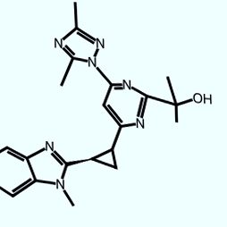 Cc1nc(C)n(-c2cc(C3C[C@H]3c3nc4ccccc4n3C)nc(C(C)(C)O)n2)n1